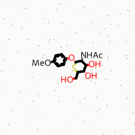 COc1ccc(O[C@@H]2SC(CO)[C@@H](O)C(O)[C@@H]2NC(C)=O)cc1